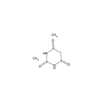 C.C.O=C1CC(=O)NC(=O)N1